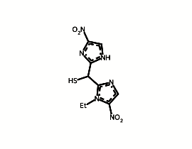 CCn1c([N+](=O)[O-])cnc1C(S)c1nc([N+](=O)[O-])c[nH]1